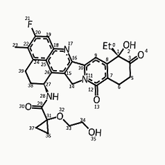 CC[C@@]1(O)C(=O)CCc2c1cc1n(c2=O)Cc2c-1nc1cc(F)c(C)c3c1c2[C@@H](NC(=O)C1(OCCO)CC1)CC3